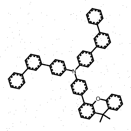 CC1(C)c2ccccc2Oc2c(-c3ccc(N(c4ccc(-c5cccc(-c6ccccc6)c5)cc4)c4ccc(-c5cccc(-c6ccccc6)c5)cc4)cc3)cccc21